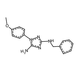 COc1ccc(-n2nc(NCc3ccccc3)nc2N)cc1